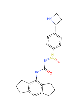 O=C(/N=[SH](=O)/c1ccc([C@H]2CCN2)cc1)Nc1c2c(cc3c1CCC3)CCC2